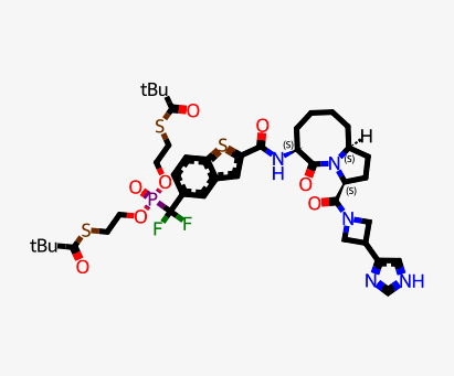 CC(C)(C)C(=O)SCCOP(=O)(OCCSC(=O)C(C)(C)C)C(F)(F)c1ccc2sc(C(=O)N[C@H]3CCCC[C@H]4CC[C@@H](C(=O)N5CC(c6c[nH]cn6)C5)N4C3=O)cc2c1